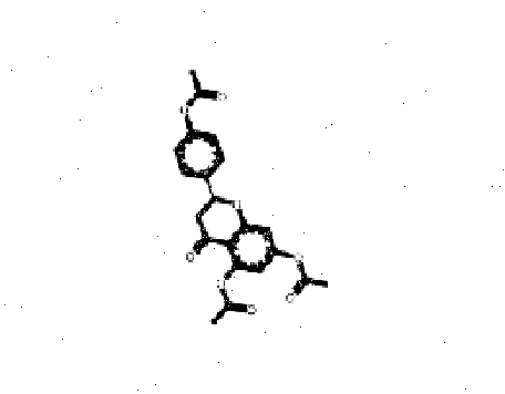 CC(=O)Oc1ccc([C@@H]2CC(=O)c3c(OC(C)=O)cc(OC(C)=O)cc3O2)cc1